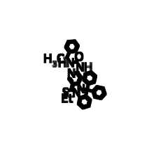 CCSc1nn(C(c2ccccc2)(c2ccccc2)c2ccccc2)c2cc(NC(=O)N[C@H](C)c3ccccc3)ncc12